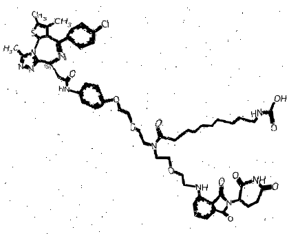 CC1=C(C)C2C(c3ccc(Cl)cc3)=N[C@@H](CC(=O)Nc3ccc(OCCOCCN(CCOCCNc4cccc5c4C(=O)N(C4CCC(=O)NC4=O)C5=O)C(=O)CCCCCCCCCNC(=O)O)cc3)c3nnc(C)n3C2S1